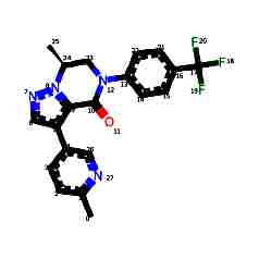 Cc1ccc(-c2cnn3c2C(=O)N(c2ccc(C(F)(F)F)cc2)C[C@@H]3C)cn1